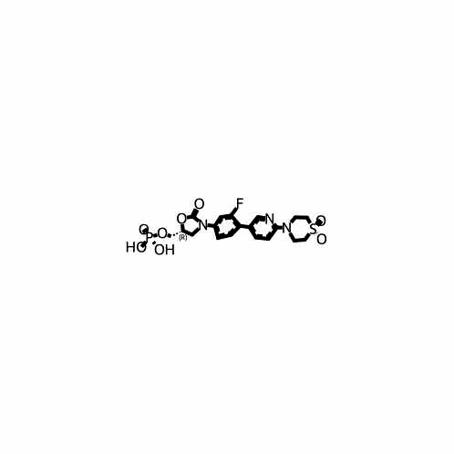 O=C1O[C@@H](COP(=O)(O)O)CN1c1ccc(-c2ccc(N3CCS(=O)(=O)CC3)nc2)c(F)c1